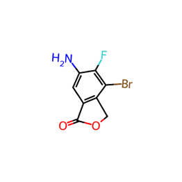 Nc1cc2c(c(Br)c1F)COC2=O